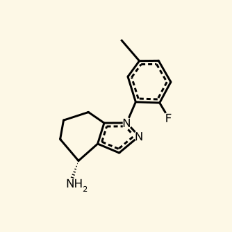 Cc1ccc(F)c(-n2ncc3c2CCC[C@H]3N)c1